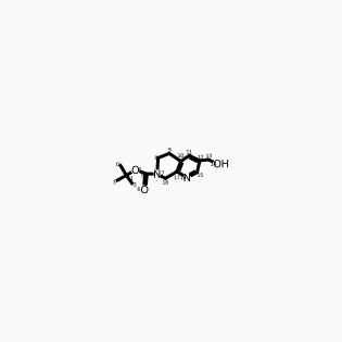 CC(C)(C)OC(=O)N1CCc2cc(CO)cnc2C1